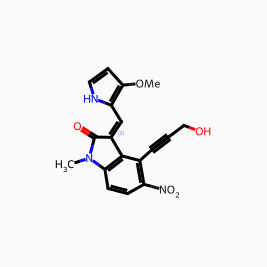 COc1cc[nH]c1/C=C1\C(=O)N(C)c2ccc([N+](=O)[O-])c(C#CCO)c21